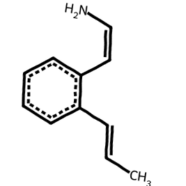 C/C=C/c1ccccc1/C=C\N